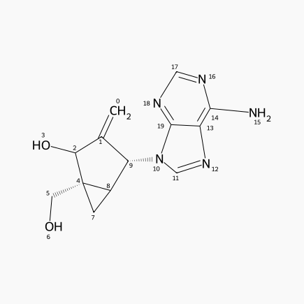 C=C1C(O)[C@]2(CO)CC2[C@H]1n1cnc2c(N)ncnc21